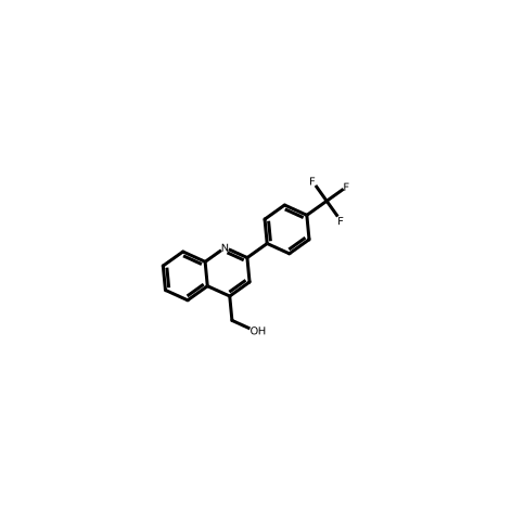 OCc1cc(-c2ccc(C(F)(F)F)cc2)nc2ccccc12